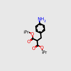 CC(C)OC(=O)C(Cc1ccc(N)cc1)C(=O)OC(C)C